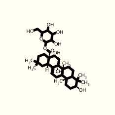 CC1(C)CC[C@]2(C(=O)OC3OC(CO)C(O)C(O)C3O)C(O)C[C@]3(C)C(=CCC4[C@@]5(C)CC[C@H](O)C(C)(C)C5CC[C@]43C)[C@@H]2C1